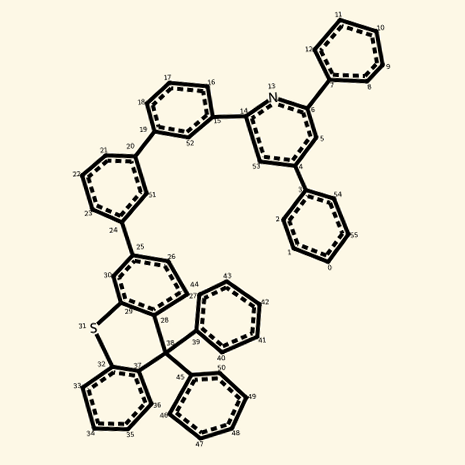 c1ccc(-c2cc(-c3ccccc3)nc(-c3cccc(-c4cccc(-c5ccc6c(c5)Sc5ccccc5C6(c5ccccc5)c5ccccc5)c4)c3)c2)cc1